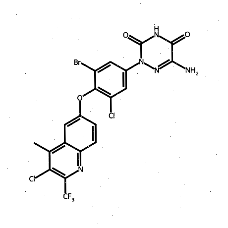 Cc1c(Cl)c(C(F)(F)F)nc2ccc(Oc3c(Cl)cc(-n4nc(N)c(=O)[nH]c4=O)cc3Br)cc12